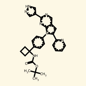 CC(C)(C)OC(=O)NC1(c2ccc(-n3c(-c4ccccn4)cc4cnc(-c5cn[nH]c5)nc43)cc2)CCC1